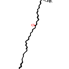 CCCCCCCCCCCCCCCCCCCCCCCCCCCCCCC(=O)CCCCCCCCCCCCCCCCCCCCCC